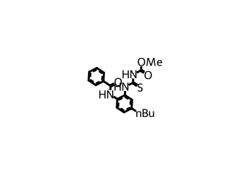 CCCCc1ccc(NC(=O)c2ccccc2)c(NC(=S)NC(=O)OC)c1